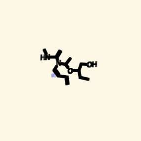 C=C/C=C\N(C(=C)NC)C(C)OC(CC)CO